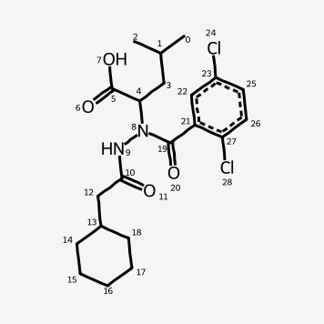 CC(C)CC(C(=O)O)N(NC(=O)CC1CCCCC1)C(=O)c1cc(Cl)ccc1Cl